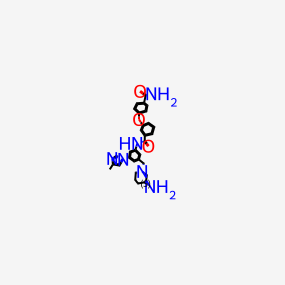 Cc1cn(-c2cc(CN3CCC[C@H](N)C3)cc(NC(=O)c3cccc(Oc4ccc(C(N)=O)cc4)c3)c2)cn1